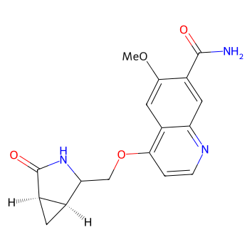 COc1cc2c(OCC3NC(=O)[C@@H]4C[C@H]34)ccnc2cc1C(N)=O